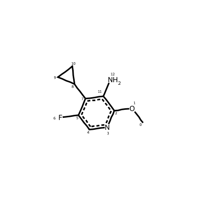 COc1ncc(F)c(C2CC2)c1N